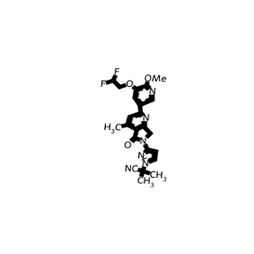 COc1ncc(-c2cc(C)c3c(n2)CN(c2ccn(C(C)(C)C#N)n2)C3=O)cc1OCC(F)F